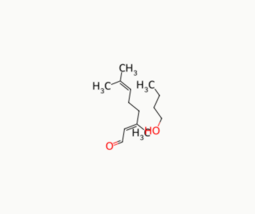 CC(C)=CCCC(C)=CC=O.CCCCO